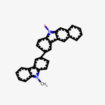 Cn1c2ccccc2c2cc(-c3ccc4c(c3)c3cc5ccccc5cc3n4I)ccc21